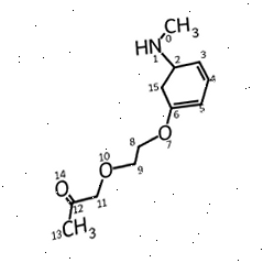 CNC1C=CC=C(OCCOCC(C)=O)C1